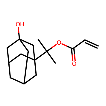 C=CC(=O)OC(C)(C)C12CC3CC(CC(O)(C3)C1)C2